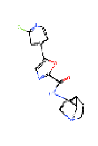 O=C(NC1CN2CCC1CC2)c1ncc(-c2ccnc(F)c2)o1